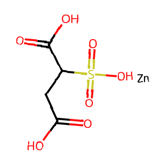 O=C(O)CC(C(=O)O)S(=O)(=O)O.[Zn]